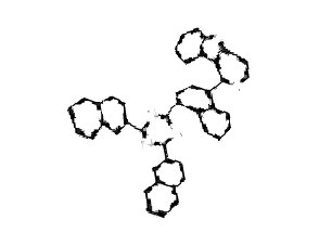 c1ccc2cc(-c3nc(-c4ccc5ccccc5c4)nc(-c4ccc(-c5nccc6oc7ccccc7c56)c5ccccc45)n3)ccc2c1